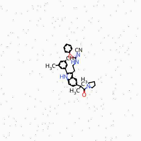 Cc1cc(C)cc(-c2[nH]c3ccc(C(C)(C)C(=O)N4CCCC4)cc3c2CCN/C(=N/C#N)Oc2ccccc2)c1